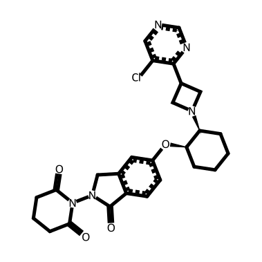 O=C1c2ccc(O[C@@H]3CCCC[C@@H]3N3CC(c4ncncc4Cl)C3)cc2CN1N1C(=O)CCCC1=O